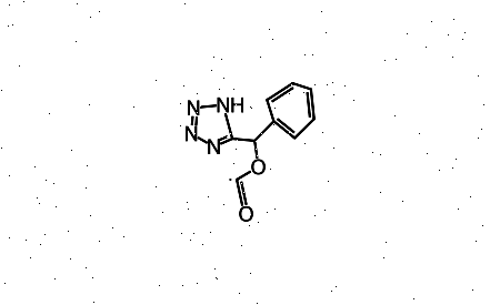 O=[C]OC(c1ccccc1)c1nnn[nH]1